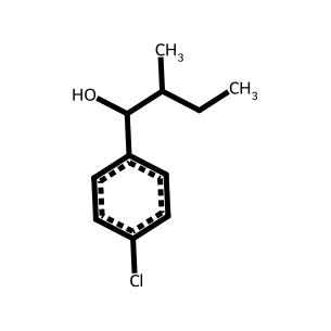 CCC(C)C(O)c1ccc(Cl)cc1